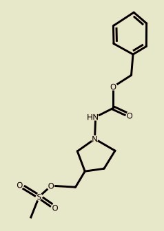 CS(=O)(=O)OCC1CCN(NC(=O)OCc2ccccc2)C1